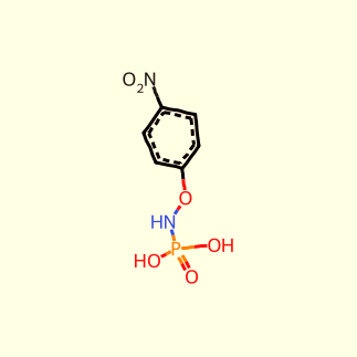 O=[N+]([O-])c1ccc(ONP(=O)(O)O)cc1